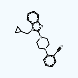 N#Cc1ccccc1N1CCN(c2nc3ccccc3n2CC2CC2)CC1